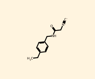 [C-]#[N+]CC(=O)NCc1ccc(CC)cc1